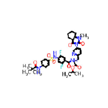 CC(C)OC(=O)[C@H](Cc1ccc(-n2c(=O)c3c(n(C)c2=O)CCCC3)cn1)NC(=O)c1cc(F)c(NS(=O)(=O)c2ccc(NC(=O)C(C)(C)C)cc2)cc1F